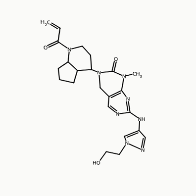 C=CC(=O)N1CCC(N2Cc3cnc(Nc4cnn(CCO)c4)nc3N(C)C2=O)C2CCCC21